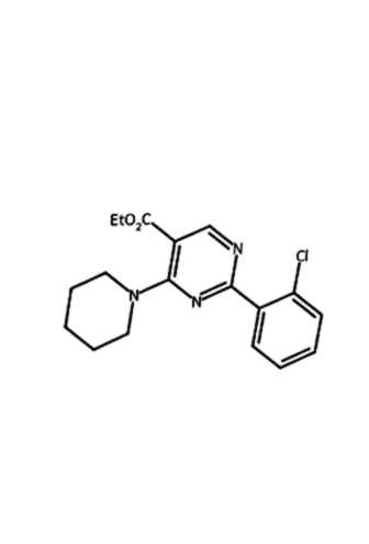 CCOC(=O)c1cnc(-c2ccccc2Cl)nc1N1CCCCC1